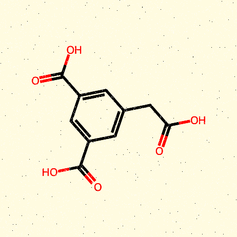 O=C(O)Cc1cc(C(=O)O)cc(C(=O)O)c1